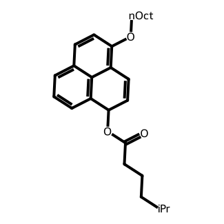 CCCCCCCCOc1ccc2cccc3c2c1C=CC3OC(=O)CCCC(C)C